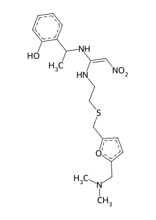 CC(NC(=C[N+](=O)[O-])NCCSCc1ccc(CN(C)C)o1)c1ccccc1O